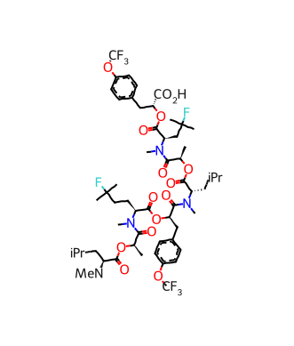 CN[C@@H](CC(C)C)C(=O)O[C@H](C)C(=O)N(C)[C@@H](CCC(C)(C)F)C(=O)O[C@H](Cc1ccc(OC(F)(F)F)cc1)C(=O)N(C)[C@@H](CC(C)C)C(=O)O[C@H](C)C(=O)N(C)[C@H](CC(C)(C)F)C(=O)O[C@H](Cc1ccc(OC(F)(F)F)cc1)C(=O)O